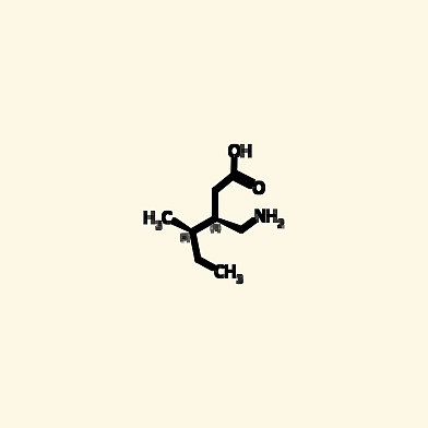 CC[C@@H](C)[C@H](CN)CC(=O)O